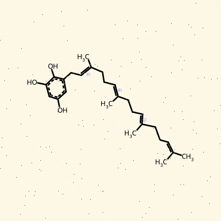 CC(C)=CCC/C(C)=C/CC/C(C)=C/CC/C(C)=C/Cc1cc(O)cc(O)c1O